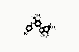 CCC1(C)CC(=O)c2c(C)nn(-c3ccc(C(N)=O)c(NC4CCC(O)CC4)c3)c2C1